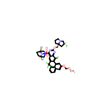 COCOc1cc(-c2c(C(F)(F)F)cc3c(N4C[C@H]5CC[C@@H](C4)N5C(=O)O)nc(OC[C@@]45CCCN4C[C@H](F)C5)nc3c2F)c2ccccc2c1